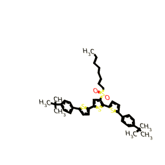 CCCCCCCCS(=O)(=O)c1cc(-c2ccc(-c3ccc(C(C)(C)C)cc3)s2)sc1-c1ccc(-c2ccc(C(C)(C)C)cc2)s1